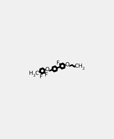 C=CCCOc1ccc(-c2ccc(COc3ccc(C)c(F)c3F)cc2)c(F)c1